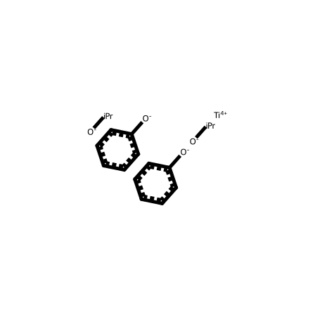 CC(C)[O-].CC(C)[O-].[O-]c1ccccc1.[O-]c1ccccc1.[Ti+4]